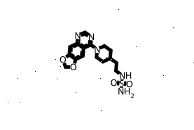 NS(=O)(=O)NCCC1CCN(c2ncnc3cc4c(cc23)OCO4)CC1